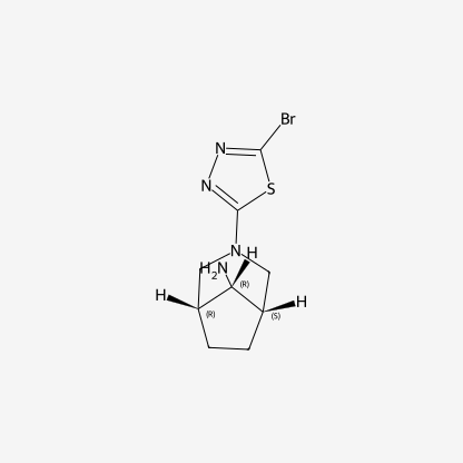 N[C@H]1[C@@H]2CC[C@H]1CN(c1nnc(Br)s1)C2